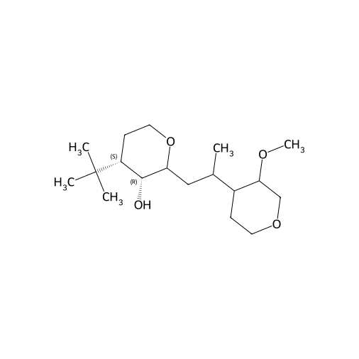 COC1COCCC1C(C)CC1OCC[C@@H](C(C)(C)C)[C@H]1O